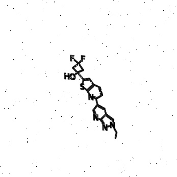 CCn1cc2cc(-c3ccc4cc(C5(O)CC(F)(F)C5)sc4n3)cnc2n1